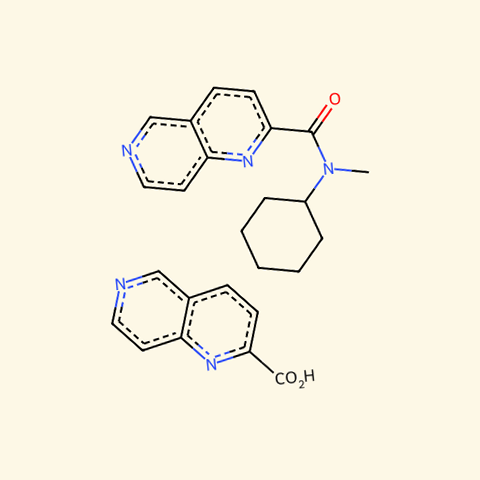 CN(C(=O)c1ccc2cnccc2n1)C1CCCCC1.O=C(O)c1ccc2cnccc2n1